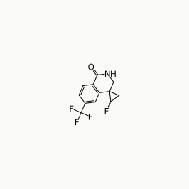 O=C1NCC2(C[C@H]2F)c2cc(C(F)(F)F)ccc21